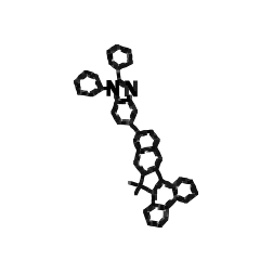 CC1(C)c2cc3cc(-c4ccc5c(c4)nc(-c4ccccc4)n5-c4ccccc4)ccc3cc2-c2c1c1ccccc1c1ccccc21